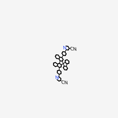 N#Cc1ccnc(-c2ccc(-c3cc4c(c5ccccc35)-c3c(cc(-c5ccc(-c6cc(C#N)ccn6)cc5)c5ccccc35)C43c4ccccc4-c4ccccc43)cc2)c1